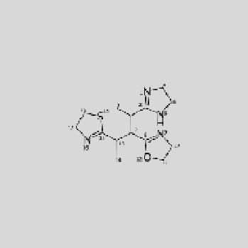 CC(C1=NCCN1)C(C1=NCCO1)C(C)C1=NCCS1